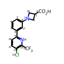 O=C(O)C1CN(c2cccc(-c3ccc(Cl)c(C(F)(F)F)n3)c2)C1